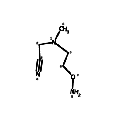 CN(CC#N)CCON